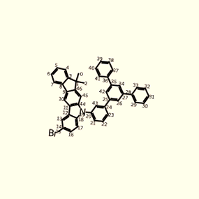 CC1(C)c2ccccc2-c2cc3c4cc(Br)ccc4n(-c4cccc(-c5cc(-c6ccccc6)cc(-c6ccccc6)c5)c4)c3cc21